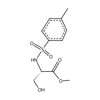 COC(=O)[C@H](CO)NS(=O)(=O)c1ccc(C)cc1